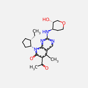 CC[C@H]1CCC[C@H]1n1c(=O)c(C(C)=O)c(C)c2cnc(N[C@@H]3CCOC[C@H]3O)nc21